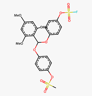 COc1cc(OC)c(C(Oc2ccc(OS(C)(=O)=O)cc2)Oc2ccc(OS(=O)(=O)F)cc2)c(OC)c1